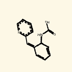 O=C(O)NC1C=CC=CC1=Cc1ccccn1